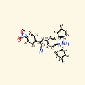 Cc1ccc(NN(c2ccc(C)cc2)c2ccc(/C=C(\C#N)c3ccc([N+](=O)[O-])cc3)cc2)cc1